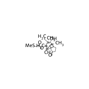 C=C[C@]1(C)C[C@@H](OC(=O)CSC)[C@]2(C)C(C)CCC3(CCC(=O)C32)[C@@H](C)C1O